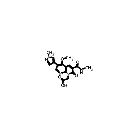 CNC(=O)c1cc2c(OC)c(-c3cnn(C)c3)cnc2n(CC(=O)O)c1=O